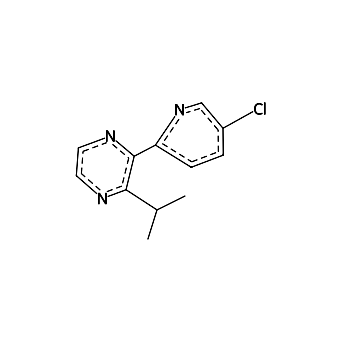 CC(C)c1nccnc1-c1ccc(Cl)cn1